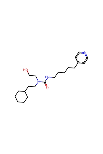 O=C(NCCCCCc1ccncc1)N(CCO)CCC1CCCCC1